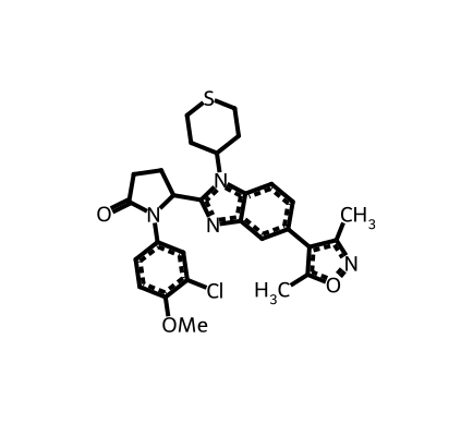 COc1ccc(N2C(=O)CCC2c2nc3cc(-c4c(C)noc4C)ccc3n2C2CCSCC2)cc1Cl